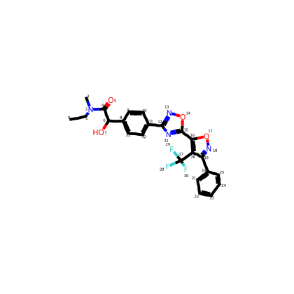 CCN(C)C(=O)C(O)c1ccc(-c2noc(-c3onc(-c4ccccc4)c3C(F)(F)F)n2)cc1